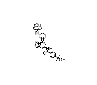 CC(C)(C)OC(=O)N[C@H]1CCCN(c2nc(NC(=O)c3ccc(C(C)(C)O)cc3)cc3ccnn23)C1